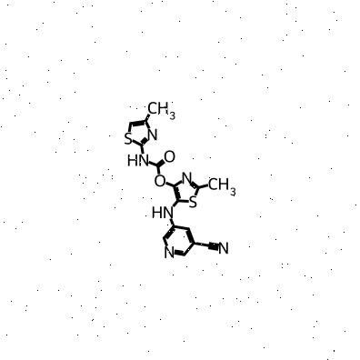 Cc1csc(NC(=O)Oc2nc(C)sc2Nc2cncc(C#N)c2)n1